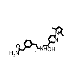 Cc1ccc(C)n1-c1ccc([C@@H](O)CN[C@H](C)Cc2cccc(CC(N)=O)c2)cn1